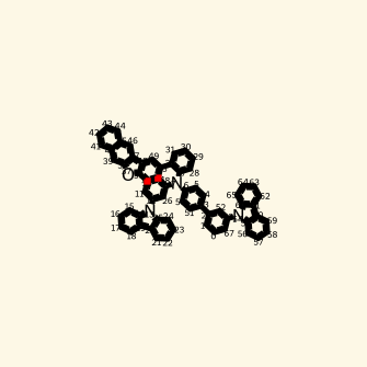 c1cc(-c2ccc(N(c3cccc(-n4c5ccccc5c5ccccc54)c3)c3ccccc3-c3ccc4oc5cc6ccccc6cc5c4c3)cc2)cc(-n2c3ccccc3c3ccccc32)c1